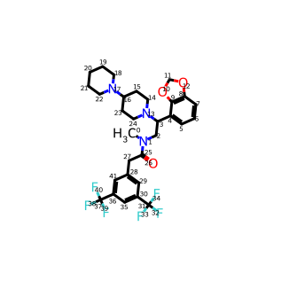 CN(CC(c1cccc2c1OCO2)N1CCC(N2CCCCC2)CC1)C(=O)Cc1cc(C(F)(F)F)cc(C(F)(F)F)c1